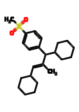 C/C(=C\C1CCCCC1)C(c1ccc(S(C)(=O)=O)cc1)C1CCCCC1